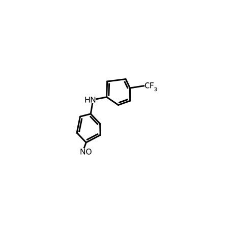 O=Nc1ccc(Nc2ccc(C(F)(F)F)cc2)cc1